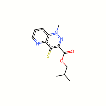 CC(C)COC(=O)c1nn(C)c2cccnc2c1=S